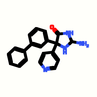 NC1NC(=O)C(c2ccncc2)(c2cccc(-c3ccccc3)c2)N1